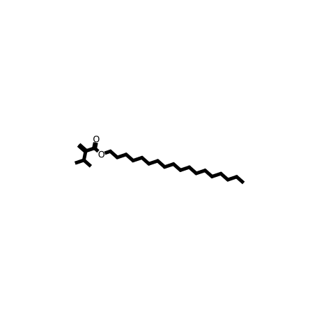 C=C(C(=O)OCCCCCCCCCCCCCCCCCC)C(C)C